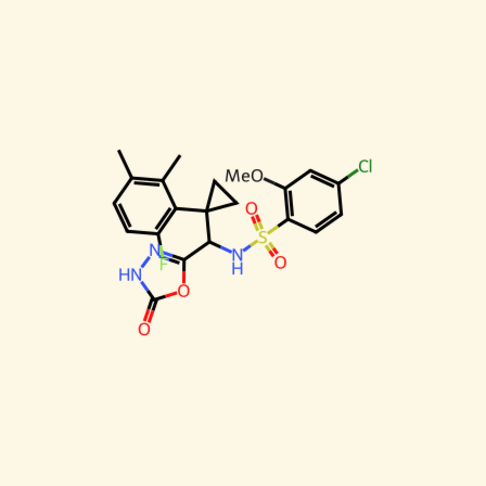 COc1cc(Cl)ccc1S(=O)(=O)NC(c1n[nH]c(=O)o1)C1(c2c(F)ccc(C)c2C)CC1